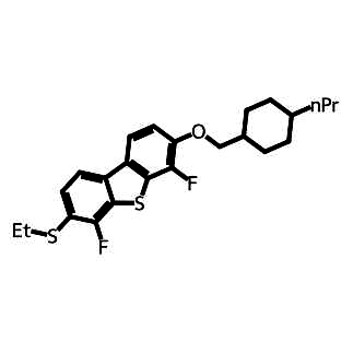 CCCC1CCC(COc2ccc3c(sc4c(F)c(SCC)ccc43)c2F)CC1